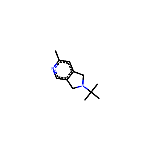 Cc1cc2c(cn1)CN(C(C)(C)C)C2